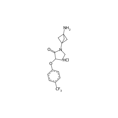 Cl.NC12CC(N3CCC(Oc4ccc(C(F)(F)F)cc4)C3=O)(C1)C2